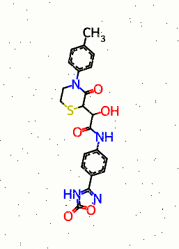 Cc1ccc(N2CCSC(C(O)C(=O)Nc3ccc(-c4noc(=O)[nH]4)cc3)C2=O)cc1